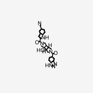 N#Cc1ccc2[nH]c(C(=O)N3CC4[C@H]5CN(C(=O)c6ccc7[nH]nnc7c6)C[C@H]5C4(O)C3)cc2c1